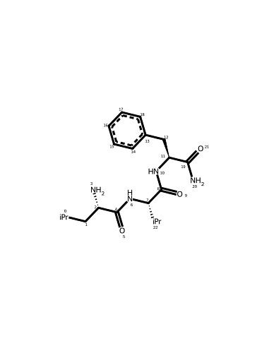 CC(C)C[C@H](N)C(=O)N[C@H](C(=O)N[C@@H](Cc1ccccc1)C(N)=O)C(C)C